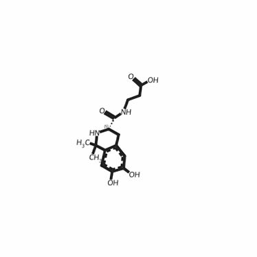 CC1(C)N[C@H](C(=O)NCCC(=O)O)Cc2cc(O)c(O)cc21